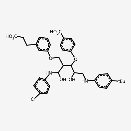 CC(C)(C)c1ccc(NCC(O)C(Oc2ccc(C(=O)O)cc2)C(COc2cccc(CCC(=O)O)c2)C(O)Nc2ccc(Cl)cc2)cc1